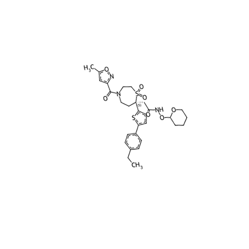 CCc1ccc(-c2ccc([C@@]3(CC(=O)NOC4CCCCO4)CCN(C(=O)c4cc(C)on4)CCS3(=O)=O)s2)cc1